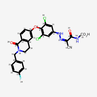 N#CC(=NNc1cc(Cl)c(Oc2ccc3c(c2)CCN(Cc2ccc(F)cc2)C3=O)c(Cl)c1)C(=O)NC(=O)O